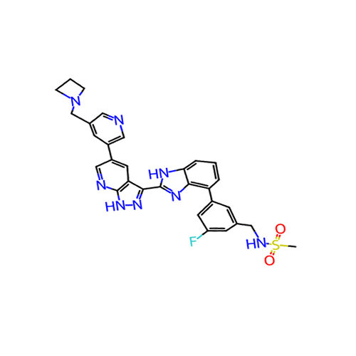 CS(=O)(=O)NCc1cc(F)cc(-c2cccc3[nH]c(-c4n[nH]c5ncc(-c6cncc(CN7CCC7)c6)cc45)nc23)c1